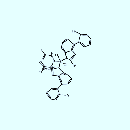 CCCC1=Cc2c(-c3ccccc3C(C)C)cccc2[CH]1[Zr]([Cl])([Cl])([B](NC(=O)CC)NC(=O)CC)[CH]1C(CCC)=Cc2c(-c3ccccc3C(C)C)cccc21